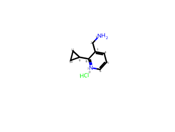 Cl.NCc1cccnc1C1CC1